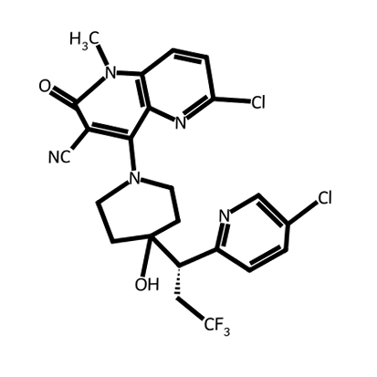 Cn1c(=O)c(C#N)c(N2CCC(O)([C@@H](CC(F)(F)F)c3ccc(Cl)cn3)CC2)c2nc(Cl)ccc21